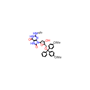 CCCNc1nc2c([nH]c(=O)n2[C@H]2C[C@H](O)[C@@H](COC(c3ccccc3)(c3ccc(OC)cc3)c3ccc(OC)cc3)O2)c(=O)[nH]1